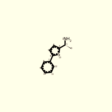 C[C@@H](N)c1ccc(-c2ccccc2)s1